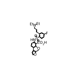 CCN(CC)CC=Cc1cc(F)ccc1S(=O)(=O)Nc1ccc2c(c1C(=O)O)OCc1occc1-2